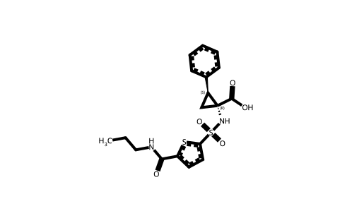 CCCNC(=O)c1ccc(S(=O)(=O)N[C@]2(C(=O)O)C[C@H]2c2ccccc2)s1